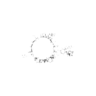 COC1C[C@@H]2CC[C@@H](C)[C@@](O)(O2)C(=O)C(=O)N2CCCC[C@H]2C(=O)O[C@H]([C@H](C)C[C@@H]2CC[C@H](n3cnnn3)[C@H](OC)C2)CC(=O)[C@H](C)/C=C(\C)[C@@H](O)C(OC)C(=O)C(C)CC(C)/C=C/C=C/C=C/1C